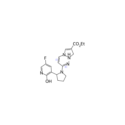 CCOC(=O)C1=CN(/C=C\C(=N/C)N2CCCC2c2cc(F)cnc2O)NC1